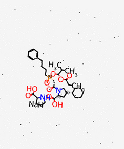 CCC(=O)OC(O[P@](=O)(CCCCc1ccccc1)CC(=O)N1C[C@H](C2CCCCC2)C[C@H]1C(=O)O)C(C)C.O=C(O)C1CCCN1.[NaH]